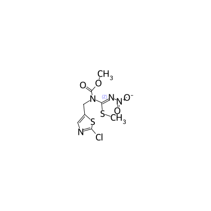 COC(=O)N(Cc1cnc(Cl)s1)/C(=N/[N+](=O)[O-])SC